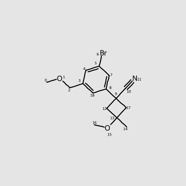 COCc1cc(Br)cc(C2(C#N)CC(C)(OC)C2)c1